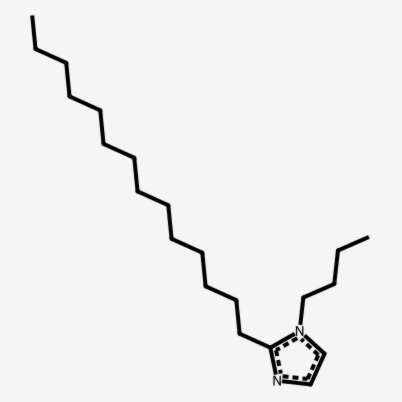 CCCCCCCCCCCCCCc1nccn1CCCC